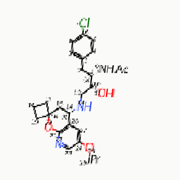 CC(=O)N[C@@H](Cc1ccc(Cl)cc1)[C@H](O)CN[C@H]1CC2(CCC2)Oc2ncc(OC(C)C)cc21